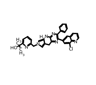 CC(C)(O)c1cccc(Cn2ccc(Cc3nc(-c4cc(Cl)c5ncccc5c4)c(-c4ccccc4)nc3N)c2)n1